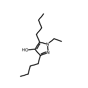 CCCCc1nn(CC)c(CCCC)c1O